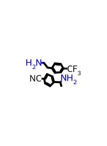 CC(N)c1ccc(C#N)cc1.NCCc1ccc(C(F)(F)F)cc1